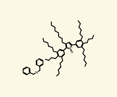 CCCCCCCCC1=C(c2cc(CCCCCC)c(CCCC)c(CCCCCC)c2)[N+](=[N-])C(c2cc(CCCCCC)c(CCCC)c(CCCCCC)c2)=C1.c1ccc([CH2][Ni][CH2]c2ccccc2)cc1